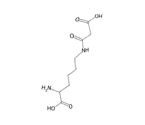 NC(CCCCNC(=O)CC(=O)O)C(=O)O